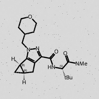 CNC(=O)[C@@H](NC(=O)c1nn(CC2CCOCC2)c2c1C[C@H]1C[C@@H]21)C(C)(C)C